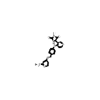 Cc1cc(OCc2ccc(Sc3ccncc3C3NC(=O)NC3=O)cc2)ccn1